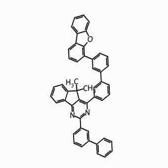 CC1(C)c2ccccc2-c2nc(-c3cccc(-c4ccccc4)c3)nc(-c3cccc(-c4cccc(-c5cccc6c5oc5ccccc56)c4)c3)c21